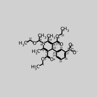 CCOC(=O)C1=C(C)N(C(C)OCC)C(C)=C(C(=O)OCC)C1c1cccc([N+](=O)[O-])c1